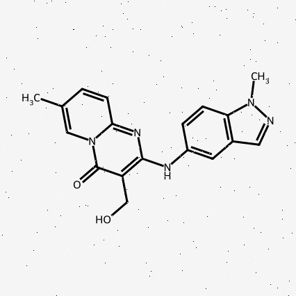 Cc1ccc2nc(Nc3ccc4c(cnn4C)c3)c(CO)c(=O)n2c1